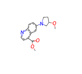 COC(=O)c1ccnc2ccc(N3CCC(OC)C3)cc12